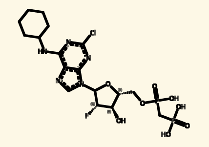 O=P(O)(O)CP(=O)(O)OC[C@H]1OC(n2cnc3c(NC4CCCCC4)nc(Cl)nc32)[C@@H](F)[C@@H]1O